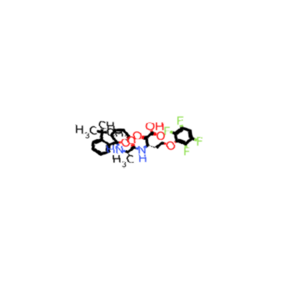 C[C@H](NC1(c2ccccc2C(C)(C)C)CCCCO1)C(=O)N[C@@H](CCOc1c(F)c(F)cc(F)c1F)C(=O)C(=O)O